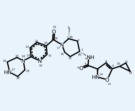 C[C@@H]1C[C@H](NC(=O)C2C=C(C3CC3)ON2)CCN1C(=O)c1ccc(N2CCNCC2)nc1